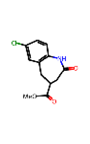 COC(=O)C1CC(=O)Nc2ccc(Cl)cc2C1